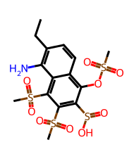 CCc1ccc2c(OS(C)(=O)=O)c(S(=O)O)c(S(C)(=O)=O)c(S(C)(=O)=O)c2c1N